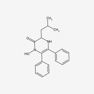 CC(C)CC1NC(c2ccccc2)=C(c2ccccc2)N(O)C1=O